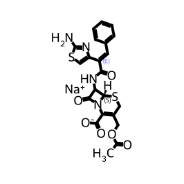 CC(=O)OCC1=C(C(=O)[O-])N2C(=O)C(NC(=O)/C(=C/c3ccccc3)c3csc(N)n3)[C@@H]2SC1.[Na+]